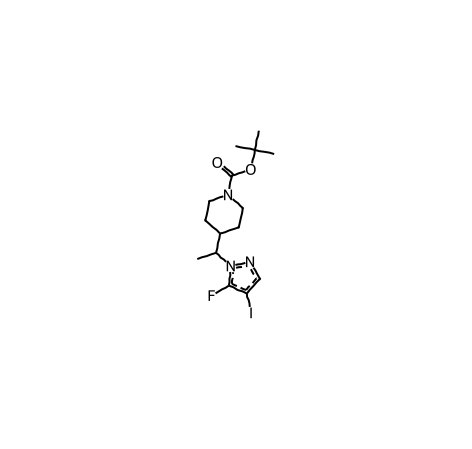 CC(C1CCN(C(=O)OC(C)(C)C)CC1)n1ncc(I)c1F